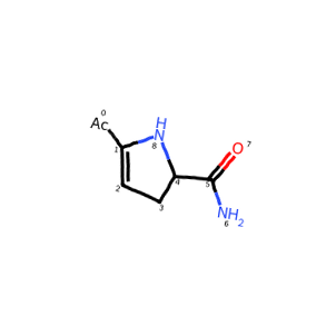 CC(=O)C1=CCC(C(N)=O)N1